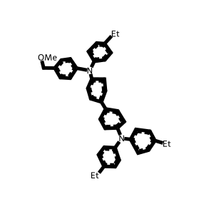 CCc1ccc(N(c2ccc(CC)cc2)c2ccc(-c3ccc(N(c4ccc(CC)cc4)c4ccc(COC)cc4)cc3)cc2)cc1